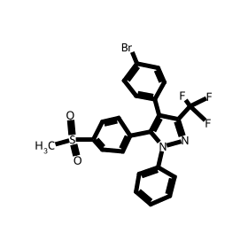 CS(=O)(=O)c1ccc(-c2c(-c3ccc(Br)cc3)c(C(F)(F)F)nn2-c2ccccc2)cc1